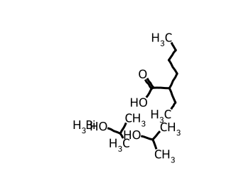 CC(C)O.CC(C)O.CCCCC(CC)C(=O)O.[BiH3]